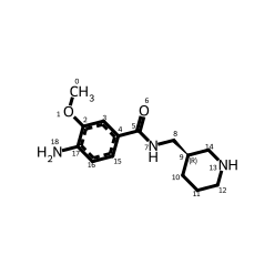 COc1cc(C(=O)NC[C@@H]2CCCNC2)ccc1N